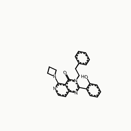 O=c1c2c(N3CCC3)nccc2nc(-c2ccccc2O)n1CCc1ccccc1